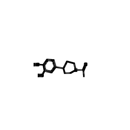 CC(=O)N1CCC(c2ccc(O)c(O)c2)CC1